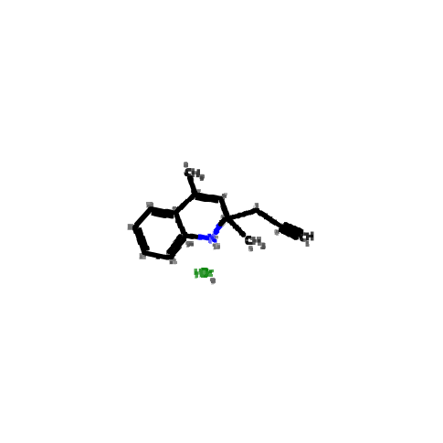 Br.C#CCC1(C)C=C(C)c2ccccc2[N]1